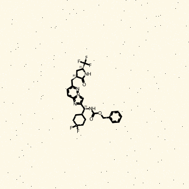 O=C(N[C@H](c1cn2nc(C[C@H]3C[C@@H](C(F)(F)F)NC3=O)ccc2n1)C1CCC(F)(F)CC1)OCc1ccccc1